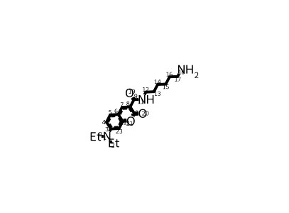 CCN(CC)c1ccc2cc(C(=O)NCCCCCCN)c(=O)oc2c1